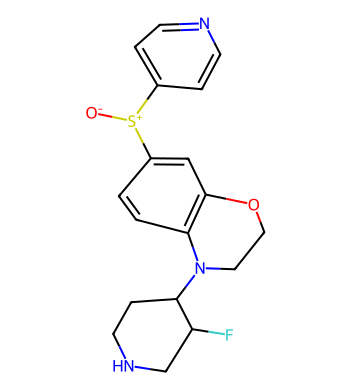 [O-][S+](c1ccncc1)c1ccc2c(c1)OCCN2C1CCNCC1F